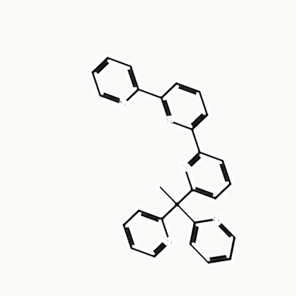 CC(c1ccccn1)(c1ccccn1)c1cccc(-c2cccc(-c3ccccn3)n2)n1